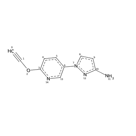 C#COc1ccc(-n2ccc(N)n2)cn1